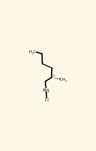 CCCC[C@H](C)[CH2][Mg][Cl]